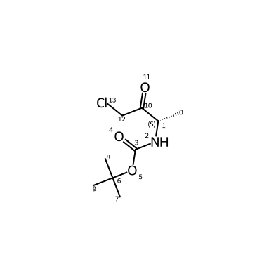 C[C@H](NC(=O)OC(C)(C)C)C(=O)CCl